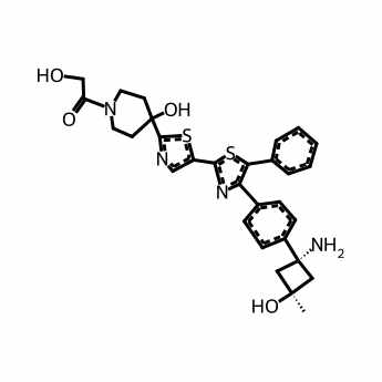 C[C@]1(O)C[C@@](N)(c2ccc(-c3nc(-c4cnc(C5(O)CCN(C(=O)CO)CC5)s4)sc3-c3ccccc3)cc2)C1